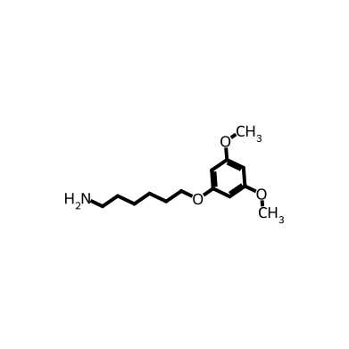 COc1cc(OC)cc(OCCCCCCN)c1